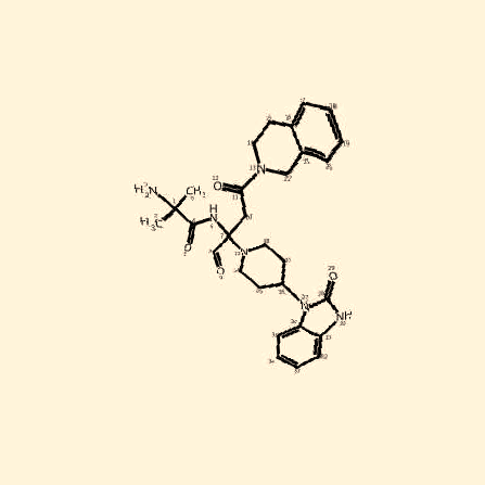 CC(C)(N)C(=O)NC(C=O)(CC(=O)N1CCc2ccccc2C1)N1CCC(n2c(=O)[nH]c3ccccc32)CC1